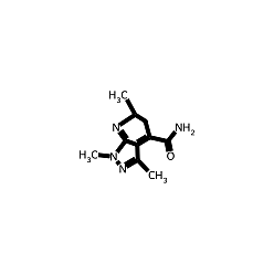 Cc1nn(C)c2c1=C(C(N)=O)CC(C)N=2